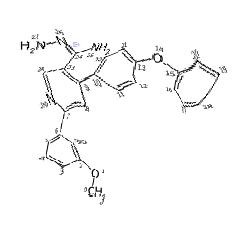 COc1cccc(-c2cc(-c3ccc(Oc4ccccc4)cc3)c(/C(N)=N\N)cn2)c1